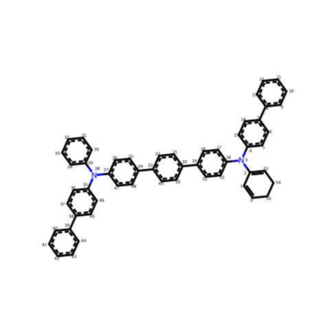 C1=CC(N(c2ccc(-c3ccccc3)cc2)c2ccc(-c3ccc(-c4ccc(N(c5ccccc5)c5ccc(-c6ccccc6)cc5)cc4)cc3)cc2)=CCC1